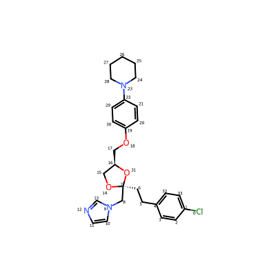 Clc1ccc(CC[C@]2(Cn3ccnc3)OC[C@@H](COc3ccc(N4CCCCC4)cc3)O2)cc1